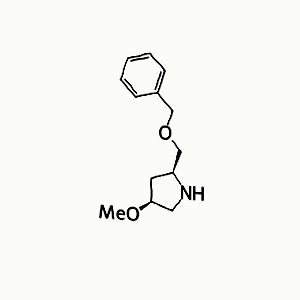 CO[C@@H]1CN[C@H](COCc2ccccc2)C1